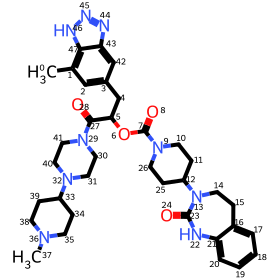 Cc1cc(CC(OC(=O)N2CCC(N3CCc4ccccc4NC3=O)CC2)C(=O)N2CCN(C3CCN(C)CC3)CC2)cc2nn[nH]c12